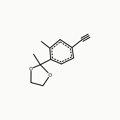 C#Cc1ccc(C2(C)OCCO2)c(C)c1